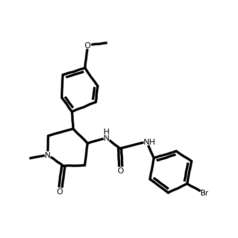 COc1ccc(C2CN(C)C(=O)CC2NC(=O)Nc2ccc(Br)cc2)cc1